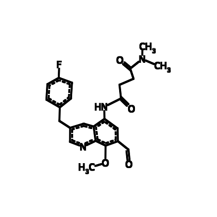 COc1c(C=O)cc(NC(=O)CCC(=O)N(C)C)c2cc(Cc3ccc(F)cc3)cnc12